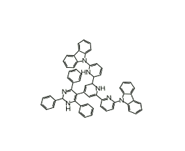 C1=CC(C2C=C(C3=C(c4ccccc4)NC(c4ccccc4)N=C3c3ccccc3)C=C(c3cccc(-n4c5ccccc5c5ccccc54)n3)N2)NC(n2c3ccccc3c3ccccc32)=C1